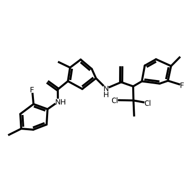 C=C(Nc1ccc(C)cc1F)c1cc(NC(=C)C(c2ccc(C)c(F)c2)C(C)(Cl)Cl)ccc1C